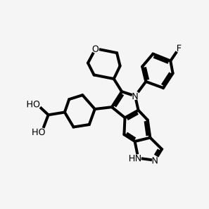 OC(O)C1CCC(c2c(C3CCOCC3)n(-c3ccc(F)cc3)c3cc4cn[nH]c4cc23)CC1